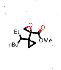 CCCCC(CC)C1(C2(C(=O)OC)CO2)CC1